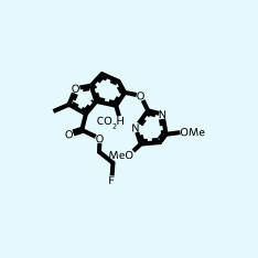 COc1cc(OC)nc(Oc2ccc3oc(C)c(C(=O)OCCF)c3c2C(=O)O)n1